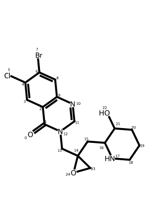 O=c1c2cc(Cl)c(Br)cc2ncn1CC1(CC2NCCCC2O)CO1